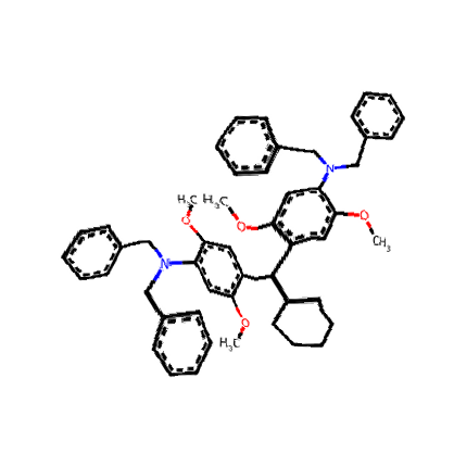 COc1cc(N(Cc2ccccc2)Cc2ccccc2)c(OC)cc1C(c1cc(OC)c(N(Cc2ccccc2)Cc2ccccc2)cc1OC)C1CCCCC1